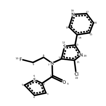 O=C(c1cccs1)N(CCF)c1sc(-c2cccnc2)nc1Cl